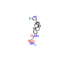 C[C@]12CC[C@@H]3c4ccc(NC(=O)CCS(N)(=O)=O)cc4CC[C@H]3[C@@H]1CC=C2c1cncc(F)c1